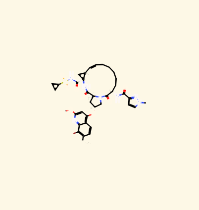 CCOc1cc(O[C@@H]2C[C@H]3C(=O)N[C@]4(C(=O)NS(=O)(=O)C5CC5)C[C@H]4C=CCCCCC[C@H](NC(=O)c4ccn(C)n4)C(=O)N3C2)c2ccc(OC)c(Br)c2n1